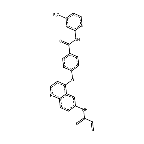 C=CC(=O)Nc1ccc2nccc(Oc3ccc(C(=O)Nc4nccc(C(F)(F)F)n4)cc3)c2c1